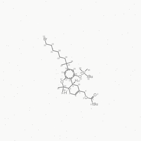 CC(C)(C)C(=O)OCC1=CC[C@@H]2[C@@H](C1)c1c(cc(C(C)(C)CCCCCCBr)cc1O[Si](C)(C)C(C)(C)C)OC2(C)C